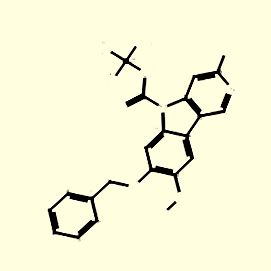 COc1cc2c3cnc(Cl)cc3n(C(=O)OC(C)(C)C)c2cc1OCc1ccccc1